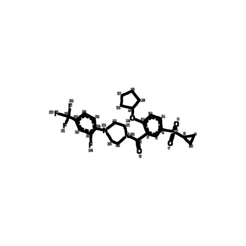 O=C(c1cc(S(=O)(=O)C2CC2)ccc1OC1CCCC1)N1CCN(c2ccc(C(F)(F)F)cc2F)CC1